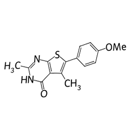 COc1ccc(-c2sc3nc(C)[nH]c(=O)c3c2C)cc1